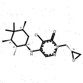 C[C@@H]1[C@@H](C)C(C)(C)[C@@H](C)C[C@H]1Nc1cnn(C[C@@H]2CO2)c(=O)c1Cl